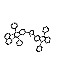 c1ccc(-c2c3c(c(-c4ccccc4)c4cc(-c5ccc(-c6ccc7c(-c8ccccc8)c8ccccc8c(-c8ccccc8)c7c6)s5)ccc24)-c2cccc4cccc-3c24)cc1